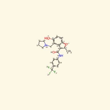 Cc1oc2ccc(O)c(CN3CCCC3)c2c1C(=O)Nc1ccc(C(F)(F)F)cc1